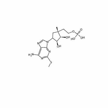 CSc1nc(N)c2ncn(C3C[C@](C)(CCOP(=O)(O)O)[C@@H](O)[C@H]3O)c2n1